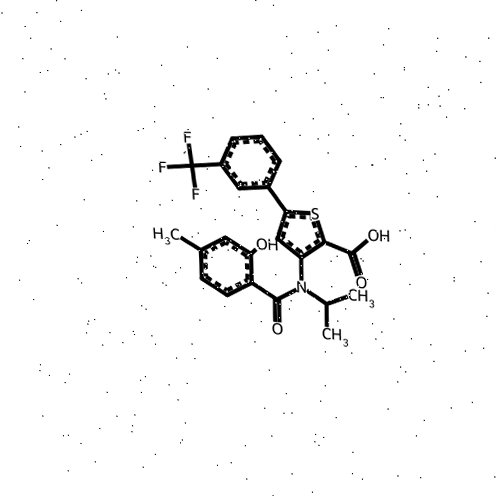 Cc1ccc(C(=O)N(c2cc(-c3cccc(C(F)(F)F)c3)sc2C(=O)O)C(C)C)c(O)c1